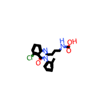 Cc1ccccc1-n1c(CCCNC(=O)O)nc2cccc(Cl)c2c1=O